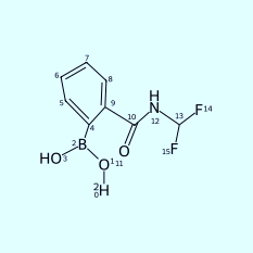 [2H]OB(O)c1ccccc1C(=O)NC(F)F